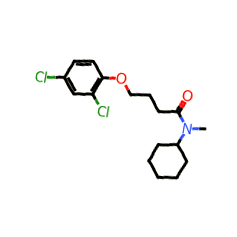 CN(C(=O)CCCOc1ccc(Cl)cc1Cl)C1CCCCC1